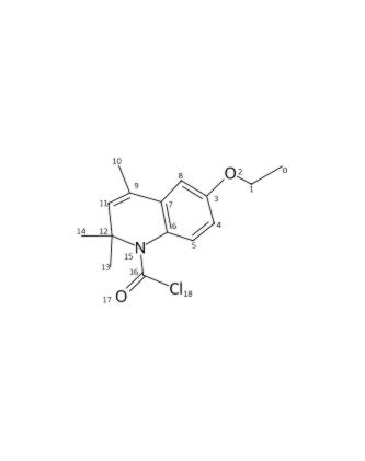 CCOc1ccc2c(c1)C(C)=CC(C)(C)N2C(=O)Cl